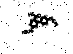 CCCCSc1ccc(C(=O)S)c(-c2ccc(N=C=S)cc2)c1